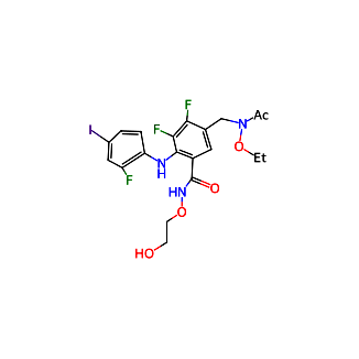 CCON(Cc1cc(C(=O)NOCCO)c(Nc2ccc(I)cc2F)c(F)c1F)C(C)=O